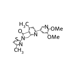 COc1cc(-c2cc(C)c3c(n2)CN(c2nc(C)cs2)C3=O)cnc1OC